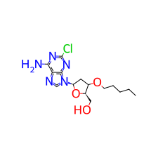 CCCCCOC1C[C@H](n2cnc3c(N)nc(Cl)nc32)O[C@@H]1CO